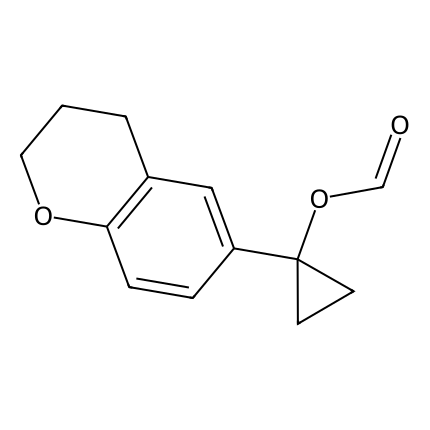 O=COC1(c2ccc3c(c2)CCCO3)CC1